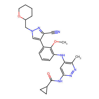 COc1c(Nc2cc(NC(=O)C3CC3)nnc2C)cccc1-c1cn(CC2CCCCO2)nc1C#N